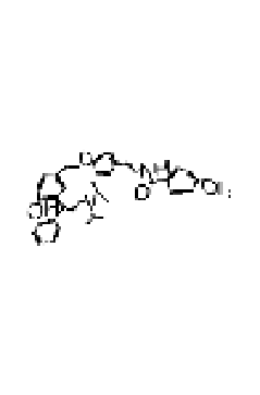 CC(C)N(CCC(c1ccccc1)c1cc(CCOc2ccc(CCNC(=O)c3ccc(O)cc3)cc2)ccc1O)C(C)C